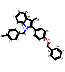 Cc1ccc(Cn2c(-c3ccc(OCc4ccccc4)cc3)c(C)c3ccccc32)cc1